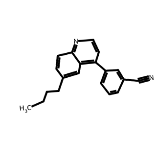 CCCCc1ccc2nccc(-c3cccc(C#N)c3)c2c1